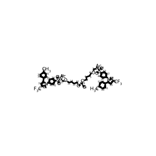 CC(=O)N(COCCCCO[N+](=O)OCCCCOCN(C(C)=O)S(=O)(=O)c1ccc(-n2nc(C(F)(F)F)cc2-c2ccc(C)cc2)cc1)S(=O)(=O)c1ccc(-n2nc(C(F)(F)F)cc2-c2ccc(C)cc2)cc1